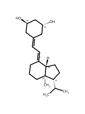 CC(C)[C@H]1CC[C@H]2/C(=C/C=C3C[C@@H](O)C[C@H](O)C3)CCC[C@]12C